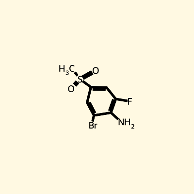 CS(=O)(=O)c1cc(F)c(N)c(Br)c1